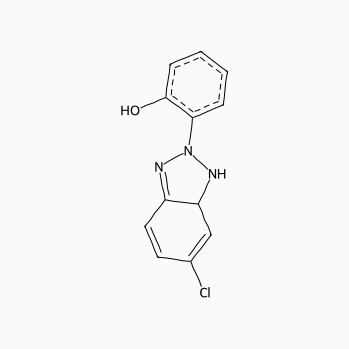 Oc1ccccc1N1N=C2C=CC(Cl)=CC2N1